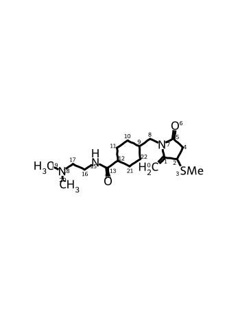 C=C1C(SC)CC(=O)N1CC1CCC(C(=O)NCCN(C)C)CC1